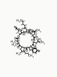 CCCCC(C)CC1NC(=O)C(Cc2ccc(F)cn2)N(C)C(=O)C(CC(C)C)NC(=O)C(CC(C)C)N(C)C(=O)C(C[C@H](C)CCCC)NC(=O)[C@@H](CCC#N)OC(=O)C(C)N(C)C1=O